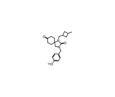 COc1ccc(CN2CC3(CCC(=O)CC3)N(CC3CC(C)C3)C2=O)cc1